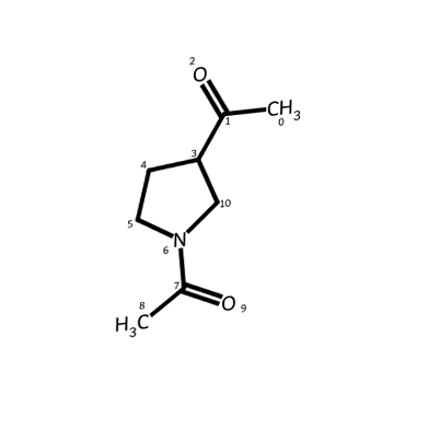 CC(=O)C1CCN(C(C)=O)C1